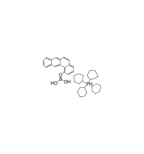 C1CCC([PH](C2CCCCC2)(C2CCCCC2)C2CCCCC2)CC1.OB(O)Oc1cccc2ccc3cc4ccccc4cc3c12